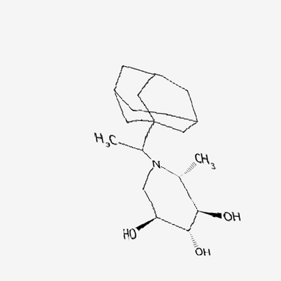 CC(N1C[C@H](O)[C@@H](O)[C@H](O)[C@H]1C)C12CC3CC(CC(C3)C1)C2